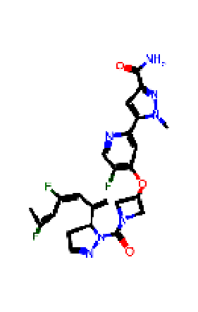 C=C(/C=C(F)\C=C(/C)F)[C@@H]1CC=NN1C(=O)N1CC(Oc2cc(-c3cc(C(N)=O)nn3C)ncc2F)C1